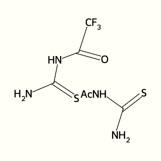 CC(=O)NC(N)=S.NC(=S)NC(=O)C(F)(F)F